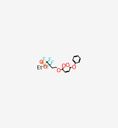 CCS(=O)(=O)C(F)(F)C(F)(F)CCOC(=O)/C=C\C(=O)Oc1ccccc1